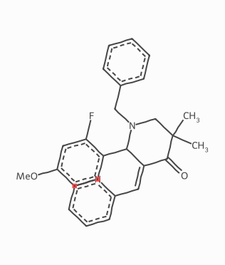 COc1ccc(C2/C(=C\c3ccccn3)C(=O)C(C)(C)CN2Cc2ccccc2)c(F)c1